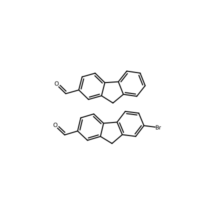 O=Cc1ccc2c(c1)Cc1cc(Br)ccc1-2.O=Cc1ccc2c(c1)Cc1ccccc1-2